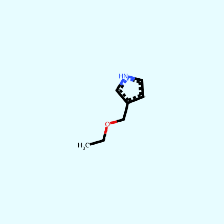 CCOCc1[c]c[nH]c1